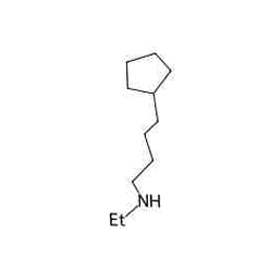 [CH2]CNCCCCC1CCCC1